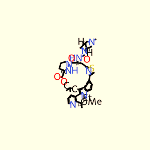 CCn1c(-c2cccnc2[C@H](C)OC)c2c3cc(ccc31)-c1csc(n1)C[C@H](NC(=O)N1C[C@H]3CN(C)C[C@H]31)C(=O)N1CCC[C@@](C)(N1)C(=O)OCC(C)(C)C2